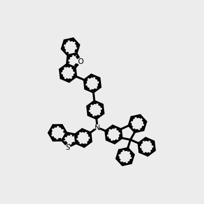 c1ccc(C2(c3ccccc3)c3ccccc3-c3cc(N(c4ccc(-c5cccc(-c6cccc7c6oc6ccccc67)c5)cc4)c4ccc5sc6ccccc6c5c4)ccc32)cc1